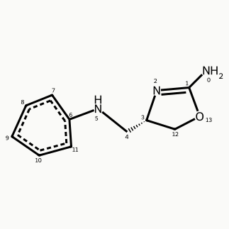 NC1=N[C@@H](CNc2ccccc2)CO1